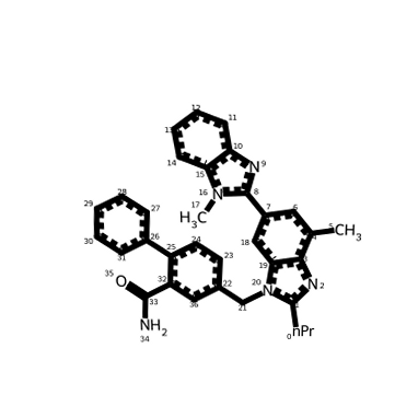 CCCc1nc2c(C)cc(-c3nc4ccccc4n3C)cc2n1Cc1ccc(-c2ccccc2)c(C(N)=O)c1